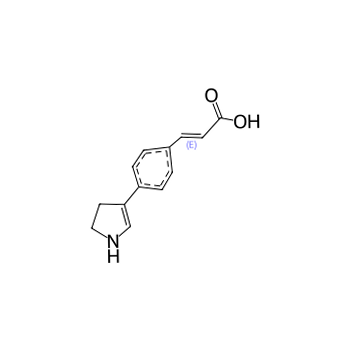 O=C(O)/C=C/c1ccc(C2=CNCC2)cc1